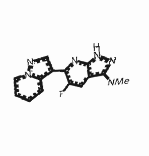 CNc1n[nH]c2nc(-c3cnn4ccccc34)c(F)cc12